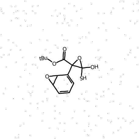 CC(C)(C)OC(=O)C1(C2=CC=CC3OC23)OC1(O)S